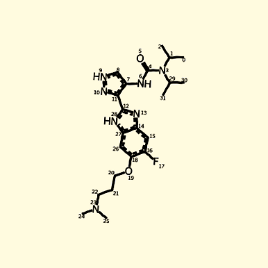 CC(C)N(C(=O)Nc1c[nH]nc1-c1nc2cc(F)c(OCCCN(C)C)cc2[nH]1)C(C)C